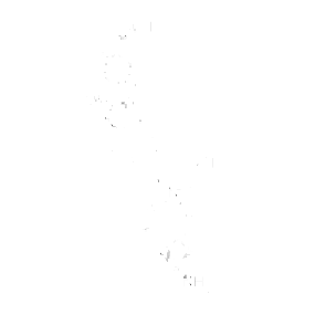 CCCN(CC[C@H]1CC[C@H](NS(=O)(=O)c2ccc(OC)cc2)CC1)[C@H]1CCc2nc(N)sc2C1